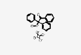 O=[S+]C(C(=O)c1ccccc1)(c1ccccc1)c1ccccc1.[O-][Cl+3]([O-])([O-])[O-]